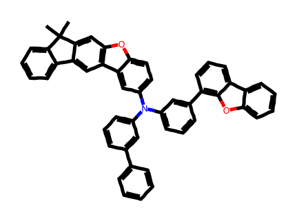 CC1(C)c2ccccc2-c2cc3c(cc21)oc1ccc(N(c2cccc(-c4ccccc4)c2)c2cccc(-c4cccc5c4oc4ccccc45)c2)cc13